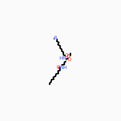 CCCCCCCCCCCC(=O)NCCCC[C@H](NC(=O)CCCCCCCCCCN(C)C)C(=O)OCC